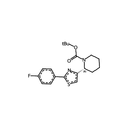 CC(C)(C)OC(=O)N1CCCC[C@@H]1c1csc(-c2ccc(F)cc2)n1